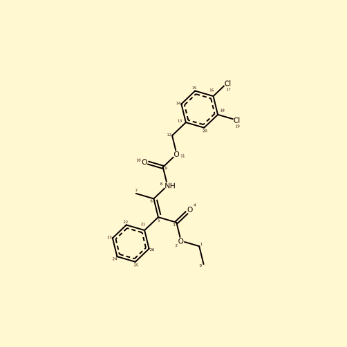 CCOC(=O)C(=C(C)NC(=O)OCc1ccc(Cl)c(Cl)c1)c1ccccc1